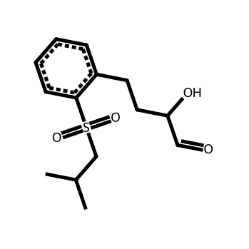 CC(C)CS(=O)(=O)c1ccccc1CCC(O)C=O